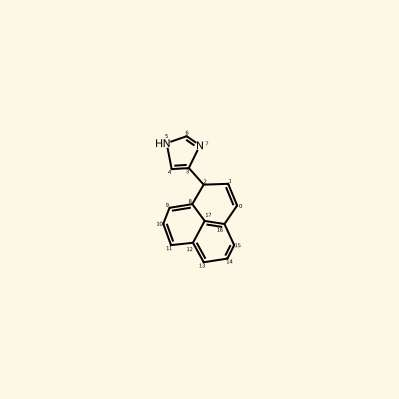 C1=CC(c2c[nH]cn2)c2cccc3cccc1c23